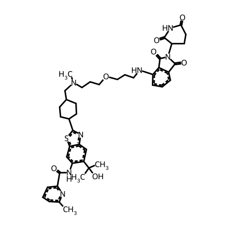 Cc1cccc(C(=O)Nc2cc3sc(C4CCC(CN(C)CCCOCCCNc5cccc6c5C(=O)N(C5CCC(=O)NC5=O)C6=O)CC4)nc3cc2C(C)(C)O)n1